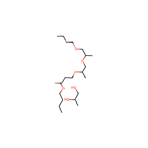 CC(O)CO.CCCCOC.CCCCOCC(C)OCC(C)OCCCC